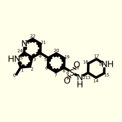 Cc1cc2c(-c3ccc(S(=O)(=O)NC4CCNCC4)cc3)ccnc2[nH]1